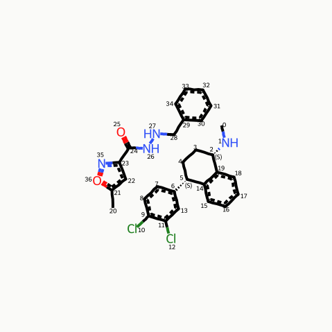 CN[C@H]1CC[C@@H](c2ccc(Cl)c(Cl)c2)c2ccccc21.Cc1cc(C(=O)NNCc2ccccc2)no1